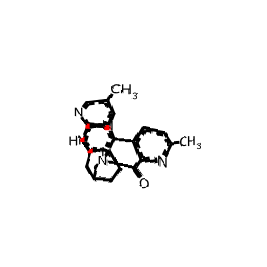 Cc1ccc(NC2CC3CCC2N(C(=O)c2nc(C)ccc2-c2ncccn2)C3)nc1